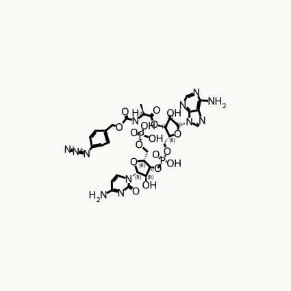 C[C@H](NC(=O)OCc1ccc(N=[N+]=[N-])cc1)C(=O)O[C@H]1[C@@H](O)[C@H](n2cnc3c(N)ncnc32)O[C@@H]1COP(=O)(O)O[C@H]1[C@@H](O)[C@H](n2ccc(N)nc2=O)O[C@@H]1COP(=O)(O)O